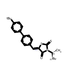 CC[C@H](C)[C@@H](C)N1C(=O)/C(=C/c2ccc(-c3ccc(C(C)(C)C)cc3)cc2)SC1=S